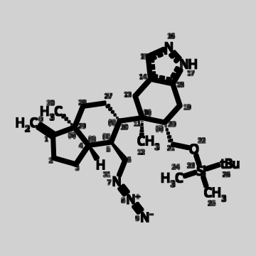 C=C1CC[C@H]2[C@H](CN=[N+]=[N-])[C@@H]([C@@]3(C)Cc4cn[nH]c4C[C@@H]3CO[Si](C)(C)C(C)(C)C)CC[C@]12C